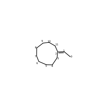 CC=C1CCCCCCCCC1